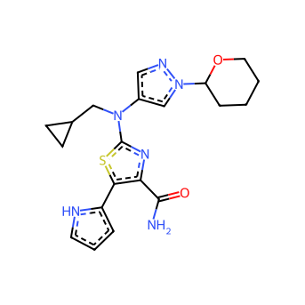 NC(=O)c1nc(N(CC2CC2)c2cnn(C3CCCCO3)c2)sc1-c1ccc[nH]1